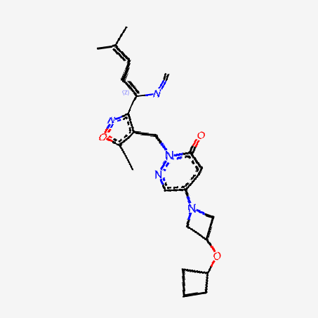 C=N/C(=C\C=C(C)C)c1noc(C)c1Cn1ncc(N2CC(OC3CCC3)C2)cc1=O